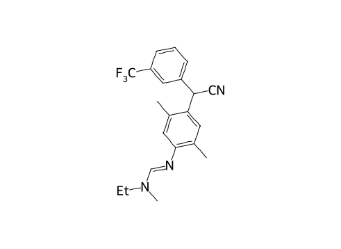 CCN(C)C=Nc1cc(C)c(C(C#N)c2cccc(C(F)(F)F)c2)cc1C